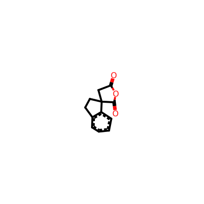 O=C1CC2(CCc3ccccc32)C(=O)O1